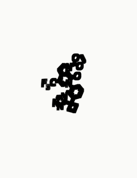 Cn1cnnc1C1(c2cccc(-n3cc(C(F)(F)F)c4ccn(C5OCCO5)c4c3=O)c2)CCC1